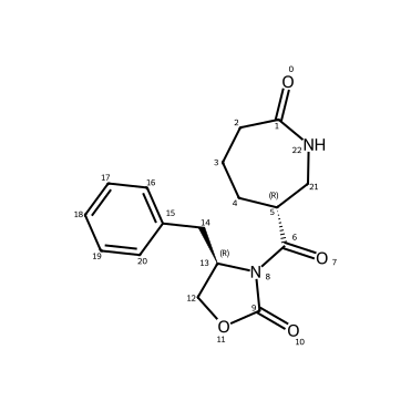 O=C1CCC[C@@H](C(=O)N2C(=O)OC[C@H]2Cc2ccccc2)CN1